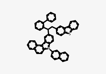 c1ccc(-c2ccccc2C(Cc2ccc3sc4ccccc4c3c2)c2ccc3c(c2)c2c4ccccc4ccc2n3-c2ccc3ccccc3c2)cc1